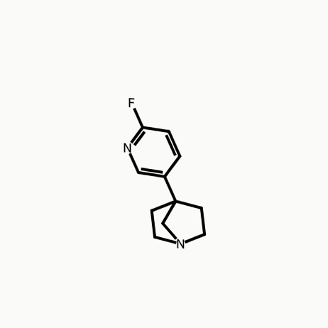 Fc1ccc(C23CCN(CC2)C3)cn1